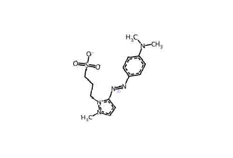 CN(C)c1ccc(/N=N/c2ccn(C)[n+]2CCCS(=O)(=O)[O-])cc1